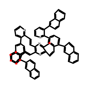 C(=Cc1nc(C=Cc2ncccc2-c2ccc3ccccc3c2)c(C=Cc2ncccc2-c2ccc3ccccc3c2)nc1C=Cc1ncccc1-c1ccc2ccccc2c1)c1ncccc1-c1ccc2ccccc2c1